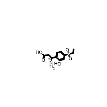 CCS(=O)(=O)c1ccc([C@@H](N)CC(=O)O)cc1.Cl